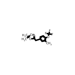 Cc1cc(CC(=O)OC(C)(C)C)ccc1OC(F)(F)F